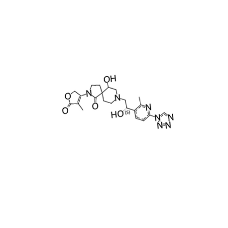 CC1=C(N2CCC3(CCN(C[C@@H](O)c4ccc(-n5cnnn5)nc4C)CC3O)C2=O)COC1=O